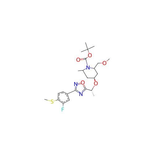 COCC1C[C@@H](O[C@H](C)c2nc(-c3ccc(SC)c(F)c3)no2)CC(C)N1C(=O)OC(C)(C)C